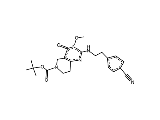 COn1c(NCCc2ccc(C#N)cc2)nc2c(c1=O)CN(C(=O)OC(C)(C)C)CC2